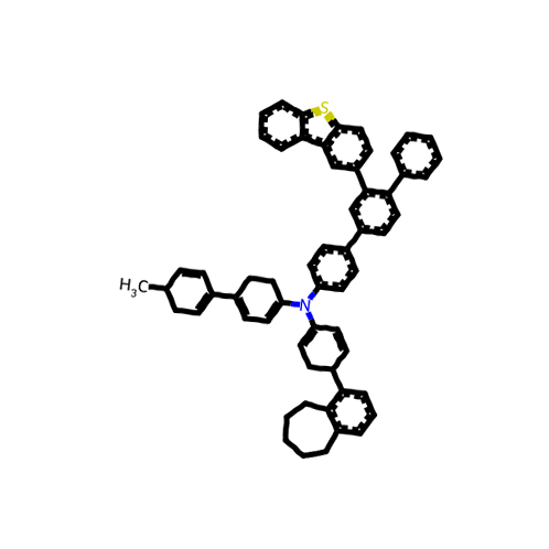 CC1C=CC(C2=CC=C(N(C3=CCC(c4cccc5c4CCCCC5)C=C3)c3ccc(-c4ccc(-c5ccccc5)c(-c5ccc6sc7ccccc7c6c5)c4)cc3)CC2)=CC1